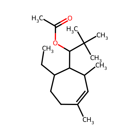 CCC1CCC(C)=CC(C)C1C(OC(C)=O)C(C)(C)C